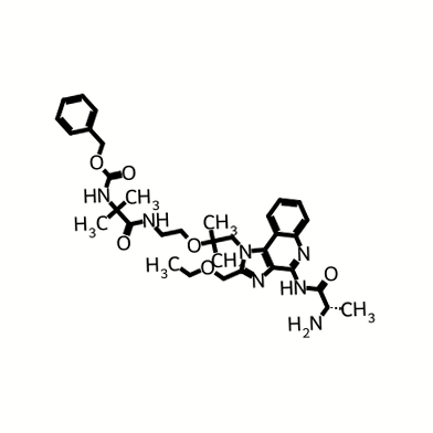 CCOCc1nc2c(NC(=O)[C@H](C)N)nc3ccccc3c2n1CC(C)(C)OCCNC(=O)C(C)(C)NC(=O)OCc1ccccc1